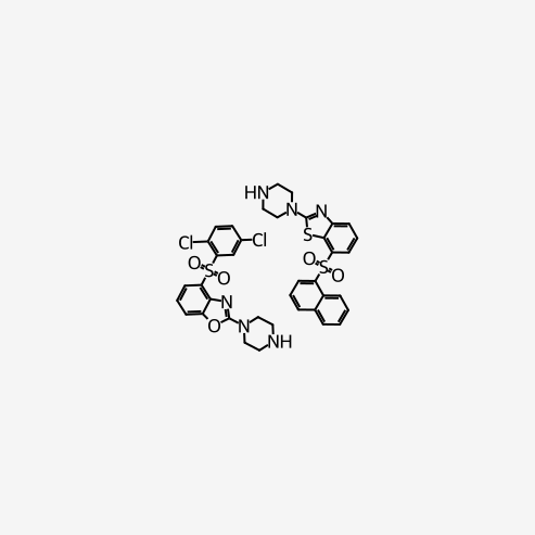 O=S(=O)(c1cc(Cl)ccc1Cl)c1cccc2oc(N3CCNCC3)nc12.O=S(=O)(c1cccc2ccccc12)c1cccc2nc(N3CCNCC3)sc12